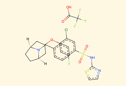 O=C(O)C(F)(F)F.O=S(=O)(Nc1nccs1)c1cc(Cl)c(OC2C[C@H]3CC[C@@H](C2)N3Cc2ccccc2)cc1F